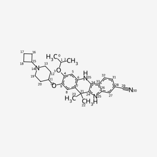 CC(C)Oc1cc2c(cc1OC1CCN(C3CCC3)CC1)C(C)(C)c1[nH]c3cc(C#N)ccc3c1N2